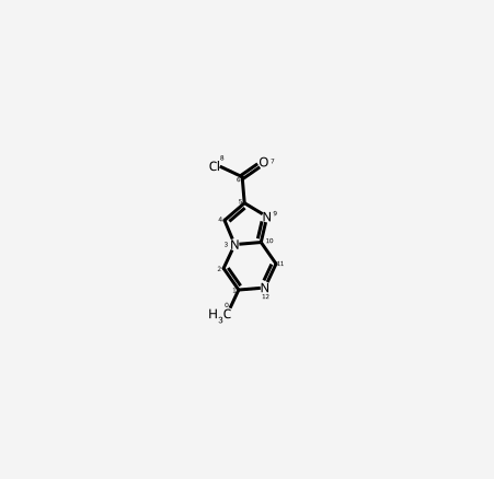 Cc1cn2cc(C(=O)Cl)nc2cn1